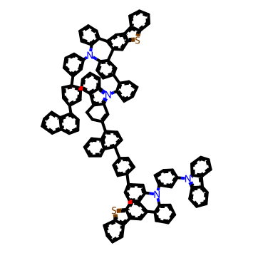 C1=C(c2ccc(-c3ccc(-c4cccc(N(c5cccc(-n6c7ccccc7c7ccccc76)c5)c5ccccc5-c5ccc6sc7ccccc7c6c5)c4)cc3)c3ccccc23)CCc2c1n(-c1ccccc1-c1ccc3c(c1)-c1cc4sc5ccccc5c4cc1-c1ccccc1N3c1cccc(-c3ccc(-c4cccc5ccccc45)cc3)c1)c1ccccc21